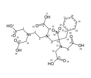 O=C(O)CN(CCN(CC(=O)O)CC(Cc1ccccc1)(N(CC(=O)O)CC(=O)O)[N+](=O)[O-])CC(=O)O